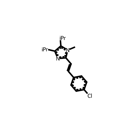 CC(C)c1nc(C=Cc2ccc(Cl)cc2)n(C)c1C(C)C